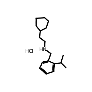 CC(C)c1ccccc1CNCCC1CCCCC1.Cl